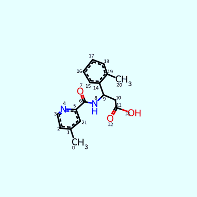 Cc1ccnc(C(=O)NC(CC(=O)O)c2ccccc2C)c1